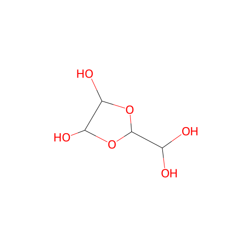 OC(O)C1OC(O)C(O)O1